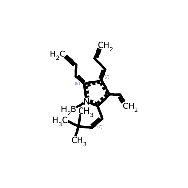 Bn1c(/C=C\C(C)(C)C)c(C=C)c(=C/C=C)/c1=C\C=C